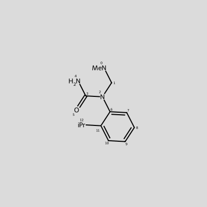 CNCN(C(N)=O)c1ccccc1C(C)C